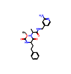 CC(NC(=O)C(CCc1ccccc1)NC(=O)OC(C)(C)C)C(=O)NCc1ccnc(N)c1